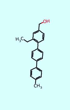 CCc1cc(CO)ccc1-c1ccc(-c2ccc(C)cc2)cc1